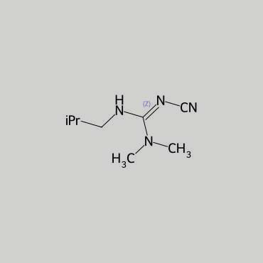 CC(C)CN/C(=N/C#N)N(C)C